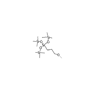 COCCC[Si](O[Si](C)(C)C)(O[Si](C)(C)C)O[Si](C)(C)C